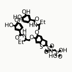 CCC(COc1cc2cc(S(=O)(=O)NCP(=O)(O)O)sc2cc1OCC(CC)NC(=O)c1ccc(O)c(O)c1)NC(=O)c1ccc(O)c(O)c1